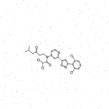 CC(C)CC(=O)CCN(C(=O)C(Cl)Cl)c1ccnc(-c2cc(-c3c(Cl)cccc3Cl)no2)c1